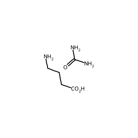 NC(N)=O.NCCCC(=O)O